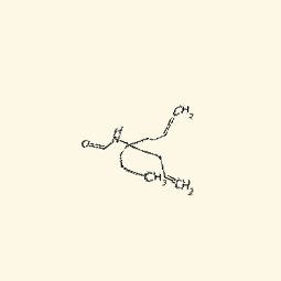 C=CCC(CC)(CC=C)NC=O